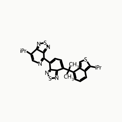 CC(C)c1scc2c(C(C)(C)c3ccc(-c4ncc(C(C)C)c5nsnc45)c4nsnc34)cccc12